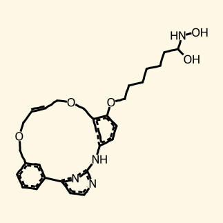 ONC(O)CCCCCCOc1ccc2cc1COC/C=C/COCc1cccc(c1)-c1ccnc(n1)N2